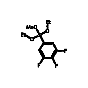 CCO[Si](OC)(OCC)c1cc(F)c(F)c(F)c1